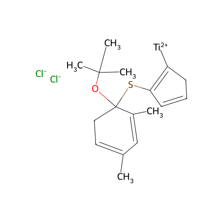 CC1=CCC(OC(C)(C)C)(SC2=[C]([Ti+2])CC=C2)C(C)=C1.[Cl-].[Cl-]